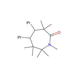 CC(C)C1C(C(C)C)C(C)(C)C(C)(C)N(C)C(=O)C1(C)C